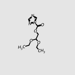 CCOC(COC(=O)n1cncn1)OCC